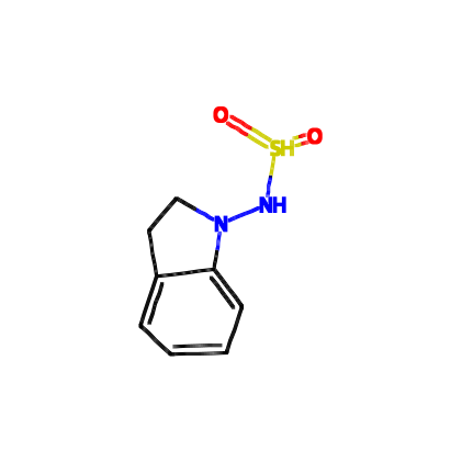 O=[SH](=O)NN1CCc2ccccc21